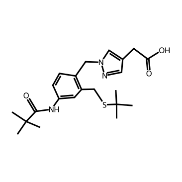 CC(C)(C)SCc1cc(NC(=O)C(C)(C)C)ccc1Cn1cc(CC(=O)O)cn1